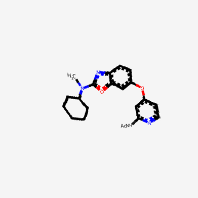 CC(=O)Nc1cc(Oc2ccc3nc(N(C)C4CCCCC4)oc3c2)ccn1